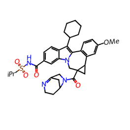 COc1ccc2c(c1)C1CC1(C(=O)N1CC3=NCCC1C3)Cn1c-2c(C2CCCCC2)c2ccc(C(=O)NS(=O)(=O)C(C)C)cc21